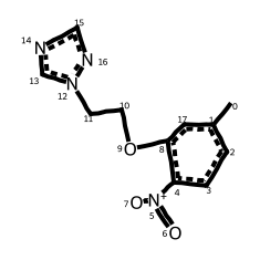 Cc1ccc([N+](=O)[O-])c(OCCn2cncn2)c1